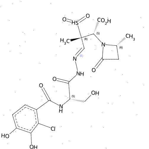 C[C@@H]1CC(=O)N1[C@@H](C(=O)O)[C@](C)(/C=N/NC(=O)[C@H](CO)NC(=O)c1ccc(O)c(O)c1Cl)[SH](=O)=O